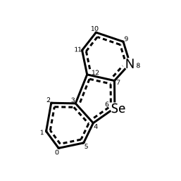 c1ccc2c(c1)[se]c1ncccc12